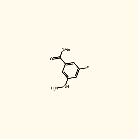 CNC(=O)c1cc(F)cc(NN)c1